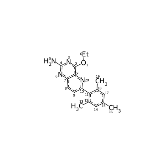 CCOc1nc(N)nc2ccc(-c3c(C)cc(C)cc3C)nc12